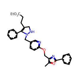 CCOC(=O)CCC1=C(c2ccccc2)N(Cc2ccc(OCc3nc(-c4ccccc4)oc3C)nc2)NC1